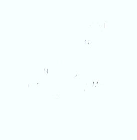 COc1ccc(-c2cc(C)c(C)c(C(=O)O)n2)c(C)c1[C@H]1C2=C(CC(C)(C)CC2=O)OC2=C1C(=O)N(C)[C@@H]2C(C)C